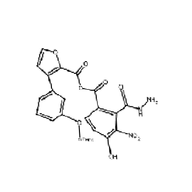 CCCCCOc1cccc(-c2ccoc2C(=O)OC(=O)c2ccc(O)c([N+](=O)[O-])c2C(=O)NN)c1